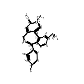 Cn1cc2c(cc1=O)CN=C(c1ccc(F)cc1)c1ccc(N)cc1-2